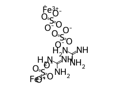 N=C(N)N.N=C(N)N.O=S(=O)([O-])[O-].O=S(=O)([O-])[O-].O=S(=O)([O-])[O-].[Fe+3].[Fe+3]